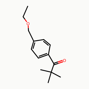 CCOCc1ccc(C(=O)C(C)(C)C)cc1